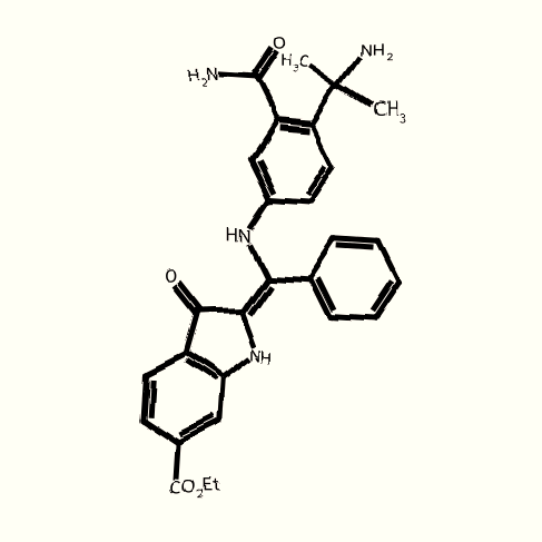 CCOC(=O)c1ccc2c(c1)NC(=C(Nc1ccc(C(C)(C)N)c(C(N)=O)c1)c1ccccc1)C2=O